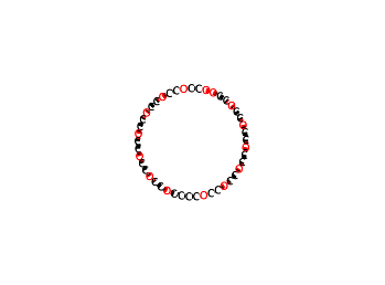 C1CCOCCOCCOCCOCCOCCOCCOOCCOCCOCCOCCOCCOCCOCCOC1